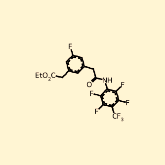 CCOC(=O)Cc1cc(F)cc(CC(=O)Nc2c(F)c(F)c(C(F)(F)F)c(F)c2F)c1